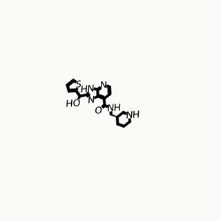 O=C(NC[C@@H]1CCCNC1)c1ccnc2[nH]c(C(O)c3cccs3)nc12